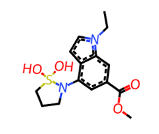 CCn1ccc2c(N3CCCS3(O)O)cc(C(=O)OC)cc21